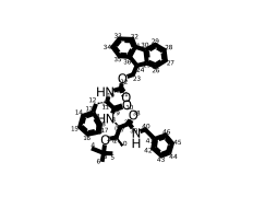 C[C@@H](OC(C)(C)C)[C@H](NC(=O)[C@H](Cc1ccccc1)NC(=O)OCC1c2ccccc2-c2ccccc21)C(=O)NCc1ccccc1